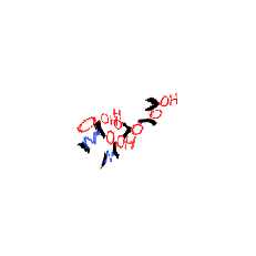 CC(C(=O)O)N1CC1.CC(C(=O)O)N1CC1.CC(O)COC(C)COC(C)CO